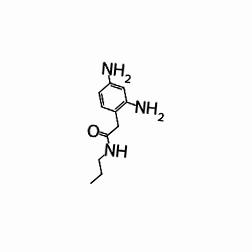 CCCNC(=O)Cc1ccc(N)cc1N